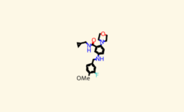 COc1ccc(CNc2ccc(N3CCOCC3)c(C(=O)NCC3CC3)c2)cc1F